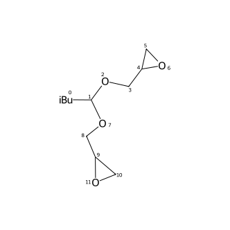 CCC(C)C(OCC1CO1)OCC1CO1